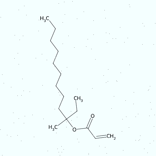 C=CC(=O)OC(C)(CC)CCCCCCCCC